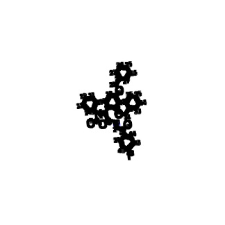 O=C(/C=C/[C@H]1OC(=O)N(c2ccccc2)[C@@H]1c1ccc(OCc2ccccc2)cc1OCc1ccccc1)c1ccc(F)cc1